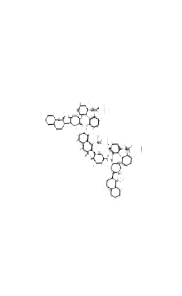 CC1(C)CCc2c(N(c3ccc4oc5c6ccccc6ccc5c4c3)c3cccc4c3-c3ccccc3C4(C)C)ccc3cc4oc5ccc(N(c6ccc7oc8c9ccccc9ccc8c7c6)c6cccc7c6-c6ccccc6C7(C)C)cc5c4c1c23